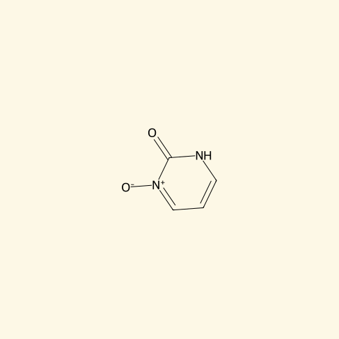 O=c1[nH]ccc[n+]1[O-]